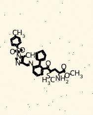 COC(=O)[C@@H](N)CC(SC)C(=O)c1cccc(N=Cc2ncn(S(=O)(=O)c3ccc(C)cc3)c2C)c1-c1ccccc1